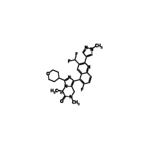 C[C@@H]1C(=O)N(C)Cc2c(-c3c(F)ccc4nc(-c5cnn(C)c5)c(C(F)F)cc34)nc(C3CCOCC3)n21